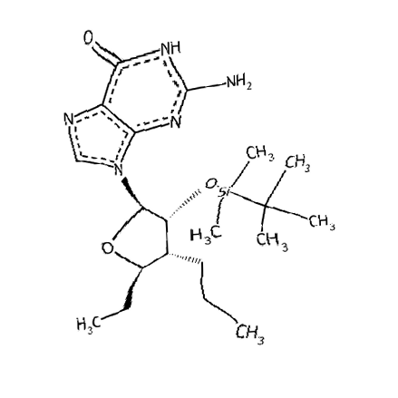 CCC[C@H]1[C@@H](O[Si](C)(C)C(C)(C)C)[C@H](n2cnc3c(=O)[nH]c(N)nc32)O[C@@H]1CC